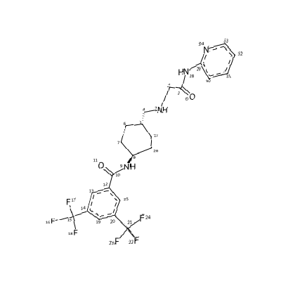 O=C(CNC[C@H]1CC[C@H](NC(=O)c2cc(C(F)(F)F)cc(C(F)(F)F)c2)CC1)Nc1ccccn1